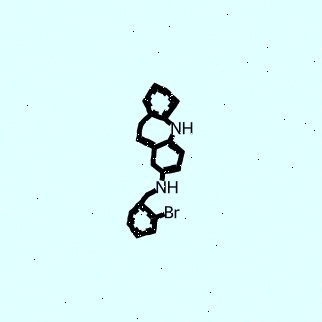 Brc1ccccc1CNC1=CC=C2Nc3ccccc3CC=C2C1